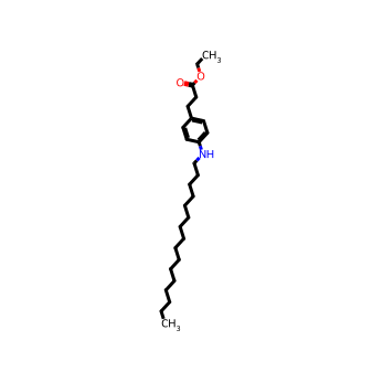 CCCCCCCCCCCCCCCCNc1ccc(CCC(=O)OCC)cc1